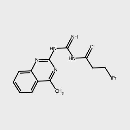 Cc1nc(NC(=N)NC(=O)CCC(C)C)nc2ccccc12